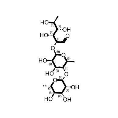 C[C@H](O)[C@H](O)[C@@H](O)[C@H](C=O)O[C@H]1O[C@@H](C)[C@H](O[C@H]2O[C@@H](C)[C@H](O)[C@@H](O)[C@H]2O)[C@@H](O)[C@H]1O